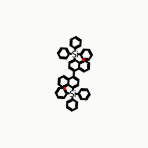 c1ccc([Si](c2ccccc2)(c2ccccc2)c2ccc(-c3ccc([Si](c4ccccc4)(c4ccccc4)c4ccccc4)c4ccccc34)c3ccccc23)cc1